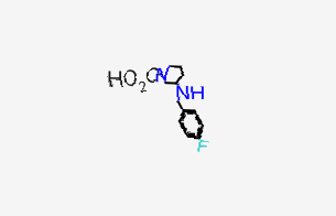 O=C(O)N1CCC[C@@H](NCc2ccc(F)cc2)C1